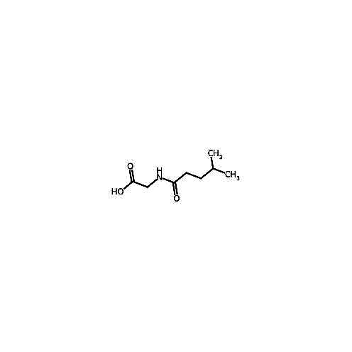 CC(C)CCC(=O)NCC(=O)O